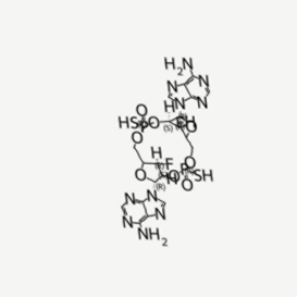 Nc1ncnc2c1ncn2[C@@H]1OC2CO[P@@](=O)(S)O[C@@H]3[C@H](F)C(CO[P@@](=O)(S)O[C@@H]1[C@@H]2F)O[C@H]3n1cnc2c(N)ncnc21